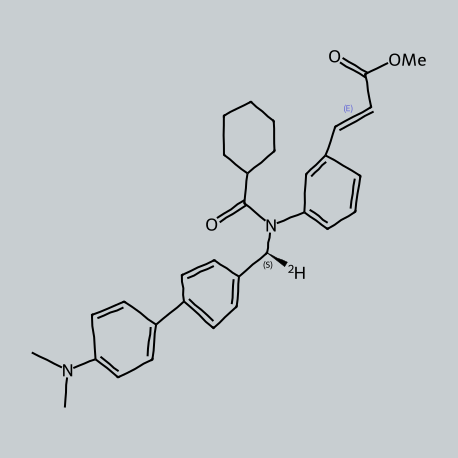 [2H][C@@H](c1ccc(-c2ccc(N(C)C)cc2)cc1)N(C(=O)C1CCCCC1)c1cccc(/C=C/C(=O)OC)c1